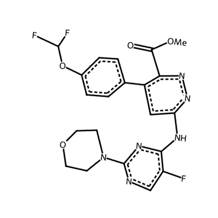 COC(=O)c1nnc(Nc2nc(N3CCOCC3)ncc2F)cc1-c1ccc(OC(F)F)cc1